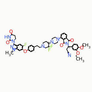 CCOc1cc([C@@H](CC#N)N2C(=O)c3cccc(N4CCN([C@H]5CCN(CCc6ccc(Oc7cc8c(cc7F)c(N7CCC(=O)NC7=O)nn8C)cc6)CC5(F)F)CC4)c3C2=O)ccc1OC